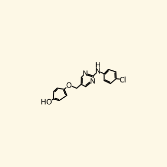 Oc1ccc(OCc2cnc(Nc3ccc(Cl)cc3)nc2)cc1